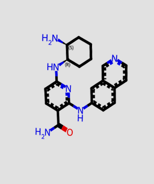 NC(=O)c1ccc(N[C@@H]2CCCC[C@@H]2N)nc1Nc1ccc2ccncc2c1